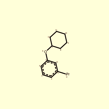 CC(C)c1cccc(OC2CCCCC2)c1